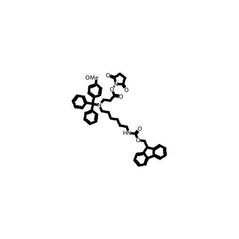 COc1ccc(C(c2ccccc2)(c2ccccc2)N(CCCCCCNC(=O)OCC2c3ccccc3-c3ccccc32)CCC(=O)ON2C(=O)CCC2=O)cc1